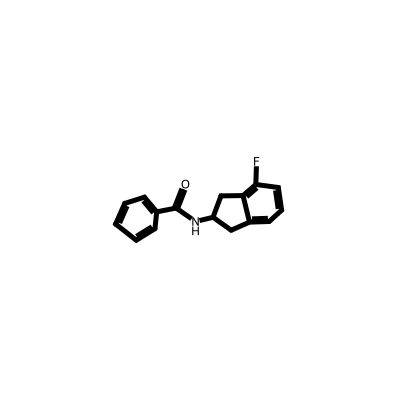 O=C(NC1Cc2cccc(F)c2C1)c1ccccc1